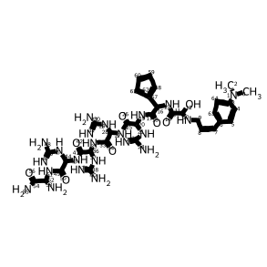 CN(C)c1ccc(/C=C\CNC(O)C(=O)NC(C(=O)NC(NC(=N)N)C(=O)NC(NC(=N)N)C(=O)NC(NC(=N)N)C(=O)NC(NC(=N)N)C(=O)NC(N)C(N)=O)c2ccccc2)cc1